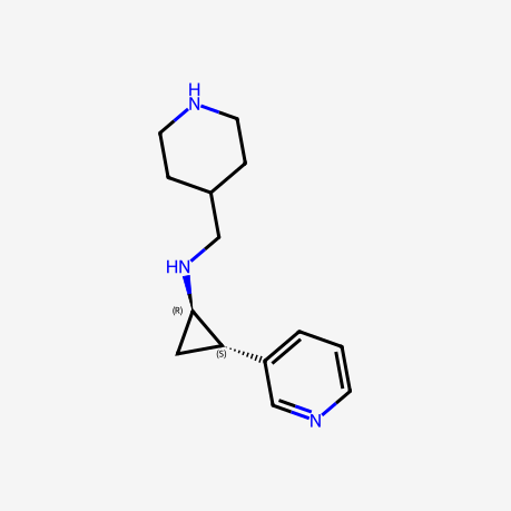 c1cncc([C@@H]2C[C@H]2NCC2CCNCC2)c1